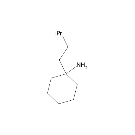 CC(C)CCC1(N)CCCCC1